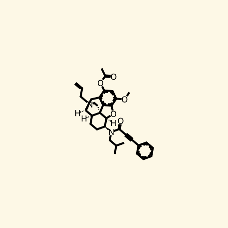 C=CCN1CC[C@]23c4c5c(OC(C)=O)cc(OC)c4O[C@H]2[C@@H](N(CC(C)C)C(=O)C#Cc2ccccc2)CC[C@H]3[C@H]1C5